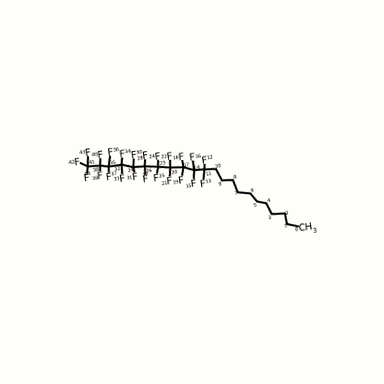 CCCCCCCCCCCC(F)(F)C(F)(F)C(F)(F)C(F)(F)C(F)(F)C(F)(F)C(F)(F)C(F)(F)C(F)(F)C(F)(F)C(F)(F)F